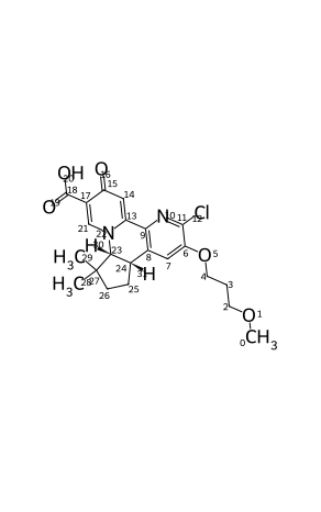 COCCCOc1cc2c(nc1Cl)-c1cc(=O)c(C(=O)O)cn1[C@@H]1[C@H]2CCC1(C)C